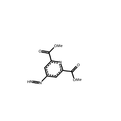 COC(=O)c1cc(N=N)cc(C(=O)OC)n1